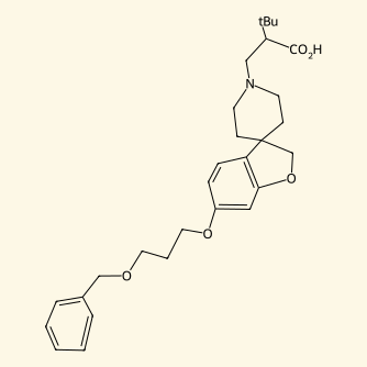 CC(C)(C)C(CN1CCC2(CC1)COc1cc(OCCCOCc3ccccc3)ccc12)C(=O)O